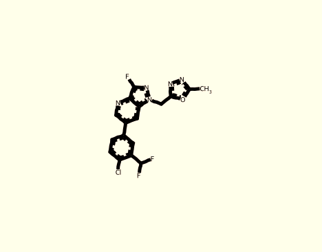 Cc1nnc(Cn2nc(F)c3ncc(-c4ccc(Cl)c(C(F)F)c4)cc32)o1